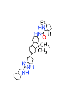 CCC12CC[C@@H](C1)[C@@H](C(=O)Nc1ccc3c(c1)C(C)(C)c1cc(-c4ccc5[nH]c([C@@H]6CC7CCCCC7N6)nc5c4)ccc1-3)N2